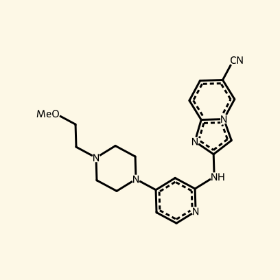 COCCN1CCN(c2ccnc(Nc3cn4cc(C#N)ccc4n3)c2)CC1